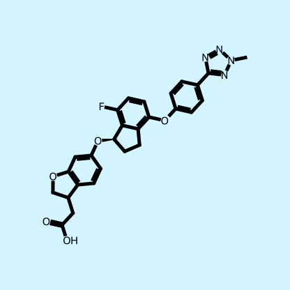 Cn1nnc(-c2ccc(Oc3ccc(F)c4c3CC[C@H]4Oc3ccc4c(c3)OCC4CC(=O)O)cc2)n1